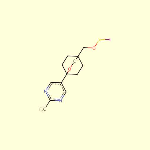 FC(F)(F)c1ncc(C23CCC(COSI)(CC2)CO3)cn1